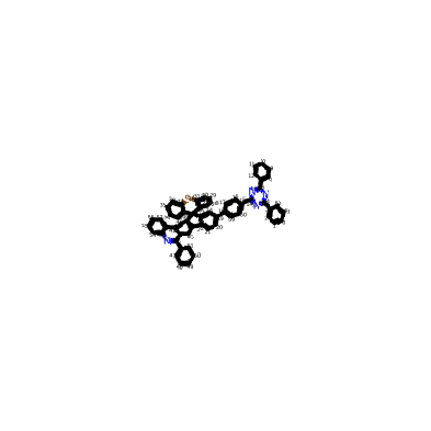 c1ccc(-c2nc(-c3ccccc3)nc(-c3ccc(-c4ccc5c(c4)C4(c6ccccc6Sc6ccccc64)c4cc6c(cc4-5)c(-c4ccccc4)nc4ccccc46)cc3)n2)cc1